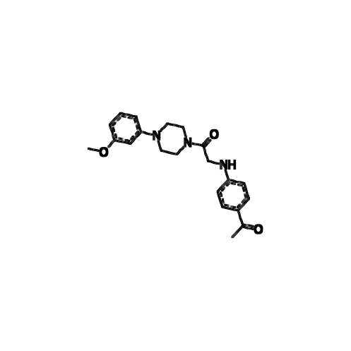 COc1cccc(N2CCN(C(=O)CNc3ccc(C(C)=O)cc3)CC2)c1